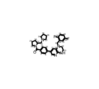 O=C(c1ccc(-c2cnc3c(c2)N(Cc2cc(F)ccc2F)CCN3)cc1)N1CCCC1CN1CCCC1